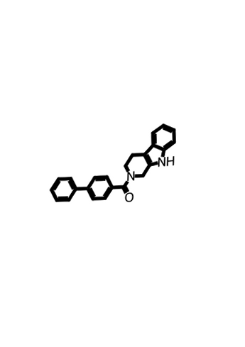 O=C(c1ccc(-c2ccccc2)cc1)N1CCc2c([nH]c3ccccc23)C1